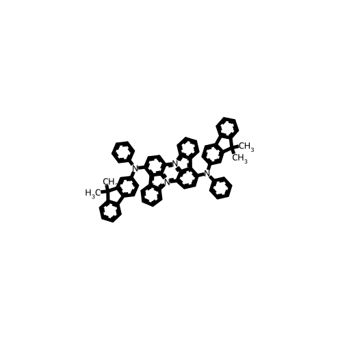 CC1(C)c2ccccc2-c2ccc(N(c3ccccc3)c3ccc4c5c3c3ccccc3n5c3ccc(N(c5ccccc5)c5ccc6c(c5)C(C)(C)c5ccccc5-6)c5c6ccccc6n4c53)cc21